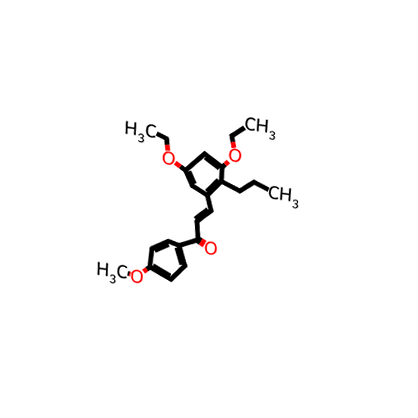 CCCc1c(C=CC(=O)c2ccc(OC)cc2)cc(OCC)cc1OCC